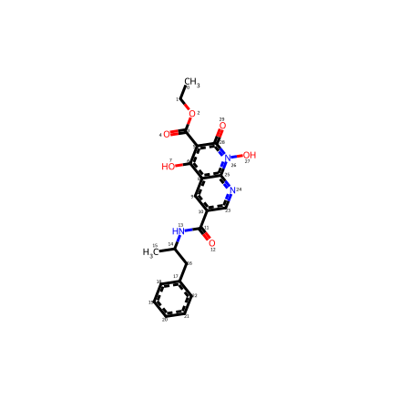 CCOC(=O)c1c(O)c2cc(C(=O)NC(C)Cc3ccccc3)cnc2n(O)c1=O